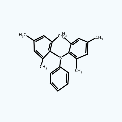 Cc1cc(C)c(B(c2c[c]ccc2)c2c(C)cc(C)cc2C)c(C)c1